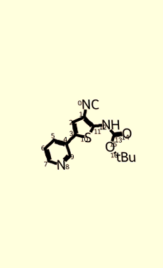 [C-]#[N+]c1cc(-c2cccnc2)sc1NC(=O)OC(C)(C)C